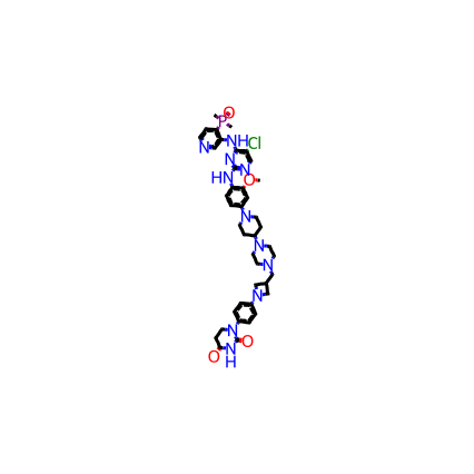 COc1cc(N2CCC(N3CCN(CC4CN(c5ccc(N6CCC(=O)NC6=O)cc5)C4)CC3)CC2)ccc1Nc1ncc(Cl)c(Nc2cnccc2P(C)(C)=O)n1